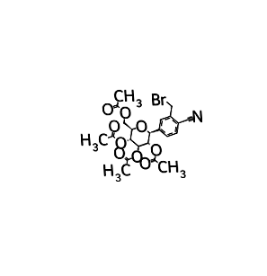 CC(=O)OC[C@H]1O[C@@H](c2ccc(C#N)c(CBr)c2)[C@H](OC(C)=O)[C@@H](OC(C)=O)[C@@H]1OC(C)=O